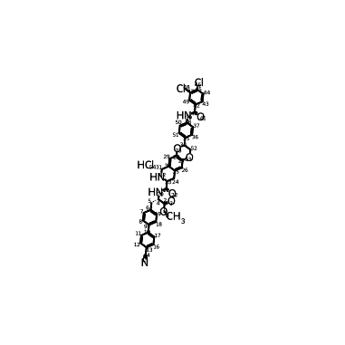 COC(=O)[C@H](Cc1ccc(-c2ccc(C#N)cc2)cc1)NC(=O)C1Cc2cc3c(cc2CN1)O[C@@H](c1ccc(NC(=O)c2ccc(Cl)c(Cl)c2)cc1)CO3.Cl